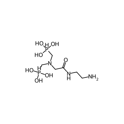 NCCNC(=O)CN(C[PH](O)(O)O)C[PH](O)(O)O